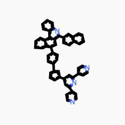 c1cc(-c2ccc(-c3cc4c(-c5ccc6ccccc6c5)nc5ccccc5c4c4ccccc34)cc2)cc(-c2cc(-c3ccncc3)nc(-c3ccncc3)c2)c1